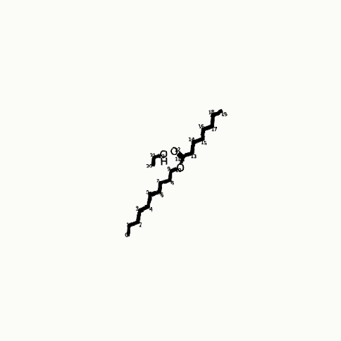 CCCCCCCCCCOC(=O)CCCCCCC.CCO